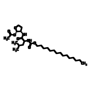 CCCCCCCCCCCCCCCOC(=O)NC(CC(C)C)C(=O)N[C@H]1CCO[C@H]1OC(C)=O